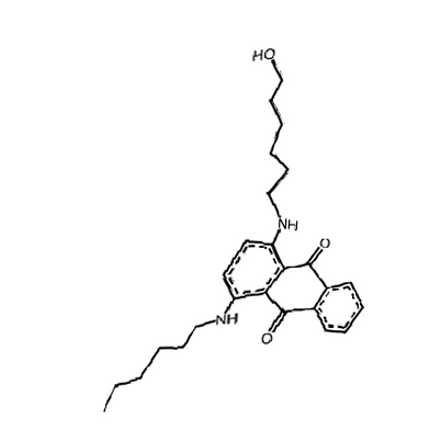 CCCCCCNc1ccc(NCCCCCCO)c2c1C(=O)c1ccccc1C2=O